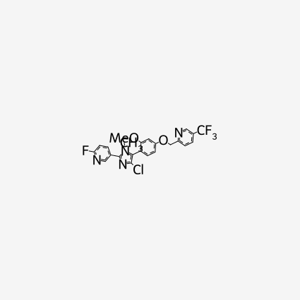 COc1cc(OCc2ccc(C(F)(F)F)cn2)ccc1-c1c(Cl)nc(-c2ccc(F)nc2)n1C